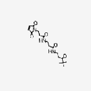 CC(C)(C)C(=O)CCNC(=O)CCNC(=O)CCN1C(=O)C=CC1=O